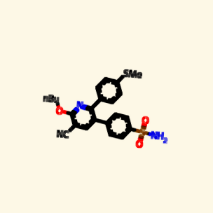 CCCCOc1nc(-c2ccc(SC)cc2)c(-c2ccc(S(N)(=O)=O)cc2)cc1C#N